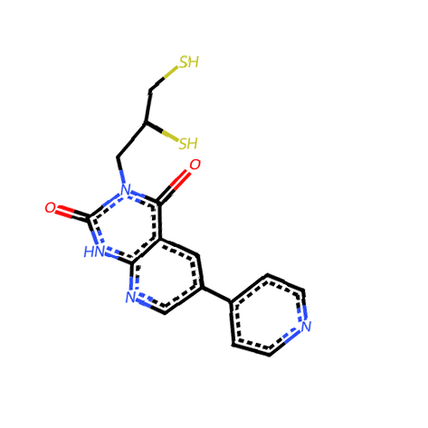 O=c1[nH]c2ncc(-c3ccncc3)cc2c(=O)n1CC(S)CS